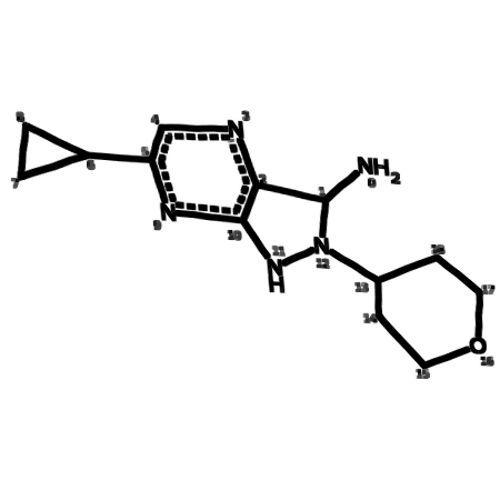 NC1c2ncc(C3CC3)nc2NN1C1CCOCC1